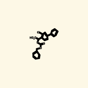 O=C(OCc1ccccc1)SC(C(=O)O)c1ccc(-c2ccccc2)cc1Cl